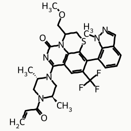 C=CC(=O)N1C[C@H](C)N(c2nc(=O)n3c4c(c(-c5cccc6cnn(C)c56)c(C(F)(F)F)cc24)SCC3COC)C[C@H]1C